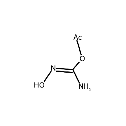 CC(=O)OC(N)=NO